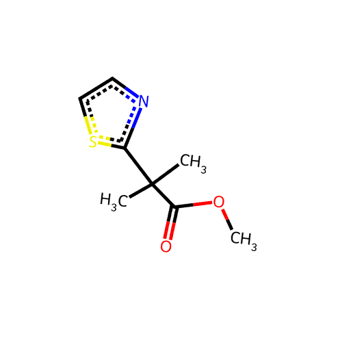 COC(=O)C(C)(C)c1nccs1